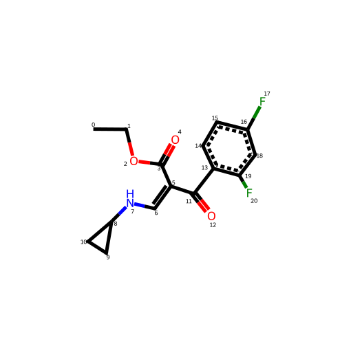 CCOC(=O)C(=CNC1CC1)C(=O)c1ccc(F)cc1F